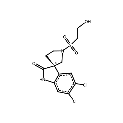 O=C1Nc2cc(Cl)c(Cl)cc2[C@]12CCN(S(=O)(=O)CCO)C2